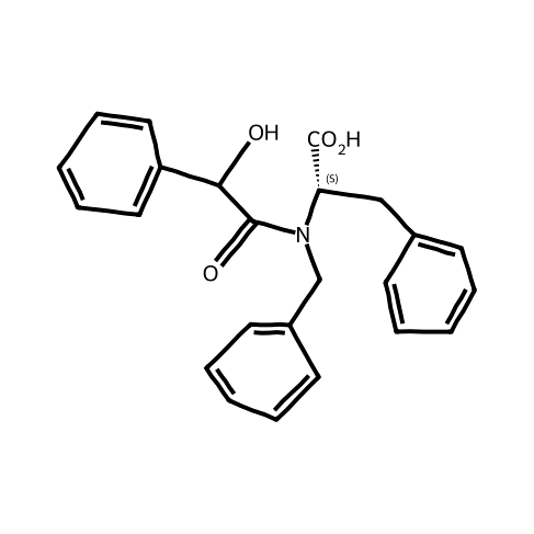 O=C(O)[C@H](Cc1ccccc1)N(Cc1ccccc1)C(=O)C(O)c1ccccc1